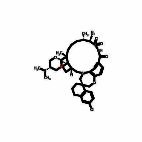 C[C@@H]1[C@@H](C)CCC[C@@](C)([C@H]2OC[C@@H](N(C)C)CO2)[C@@H]2CC[C@H]2CN2C[C@@]3(CCCc4cc(Cl)ccc43)COc3ccc(cc32)C(=O)NS1(=O)=O